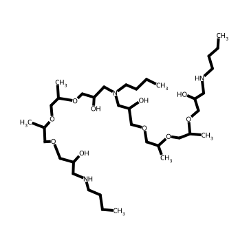 CCCCNCC(O)COCC(C)OCC(C)OCC(O)CN(CCCC)CC(O)COCC(C)OCC(C)OCC(O)CNCCCC